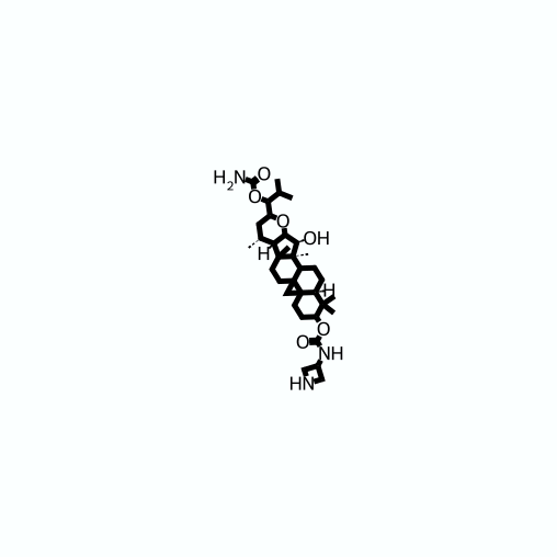 CC(C)C(OC(N)=O)C1C[C@@H](C)[C@H]2C(O1)[C@H](O)[C@@]1(C)C3CC[C@H]4C(C)(C)C(OC(=O)NC5CNC5)CCC45CC35CCC21C